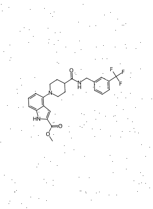 COC(=O)c1cc2c(N3CCC(C(=O)NCc4cccc(C(F)(F)F)c4)CC3)cccc2[nH]1